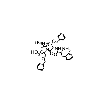 C[C@@H](OCc1ccccc1)[C@H](NC(=O)[C@@H](N)Cc1ccccc1)C(=O)N(C(=O)OC(C)(C)C)[C@@H](COCc1ccccc1)C(=O)O